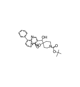 CC(C)(C)OC(=O)N1CCC(O)(C(O)c2cnc3c(-c4ccccc4)cccn3c2=O)CC1